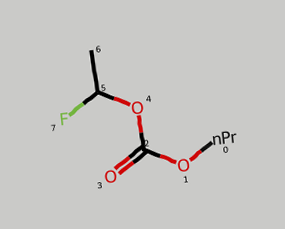 CCCOC(=O)OC(C)F